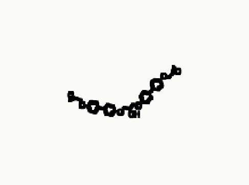 OC(COc1ccc(-c2ccc(OCC3CO3)cc2)cc1)COc1ccc(-c2ccc(OCC3CO3)cc2)cc1